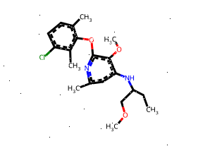 CCC(COC)Nc1cc(C)nc(Oc2c(C)ccc(Cl)c2C)c1OC